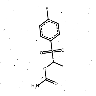 CC(OC(N)=O)S(=O)(=O)c1ccc(F)cc1